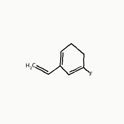 C=CC1=CCCC(F)=C1